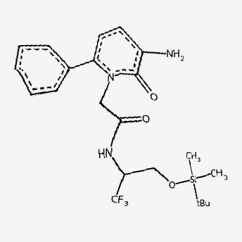 CC(C)(C)[Si](C)(C)OCC(NC(=O)Cn1c(-c2ccccc2)ccc(N)c1=O)C(F)(F)F